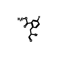 COC(=O)c1cc(F)ccc1CC(Br)C=O